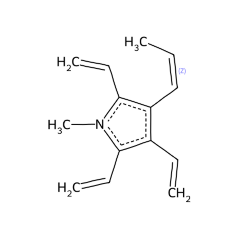 C=Cc1c(/C=C\C)c(C=C)n(C)c1C=C